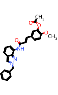 COc1ccc(C=CC(=O)Nc2cccc3cn(Cc4ccccc4)nc23)cc1OC(C)=O